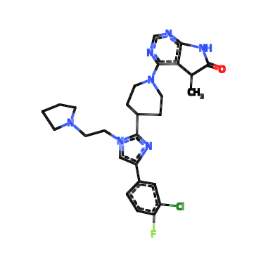 CC1C(=O)Nc2ncnc(N3CCC(c4nc(-c5ccc(F)c(Cl)c5)cn4CCN4CCCC4)CC3)c21